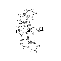 CC1=C2c3c(ccc4ccccc34)[CH]1[Ti+2][CH]1C(C)=C(c3c1ccc1ccccc31)[Si]2(C)C.[Cl-].[Cl-]